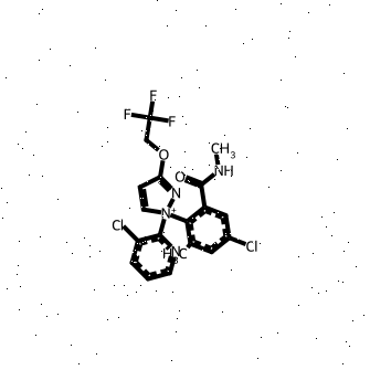 CNC(=O)c1cc(Cl)cc(C)c1[N+]1(c2ncccc2Cl)C=CC(OCC(F)(F)F)=N1